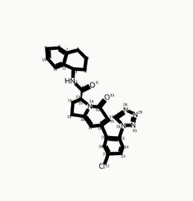 O=C(NC1CCCc2ccccc21)[C@@H]1CCc2cc(-c3cc(Cl)ccc3-n3cnnn3)cc(=O)n21